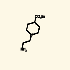 CCOC(=O)C1CCN(CCN)CC1